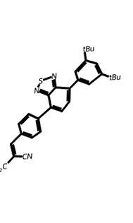 CC(C)(C)c1cc(-c2ccc(-c3ccc(/C=C(\C#N)C(=O)O)cc3)c3nsnc23)cc(C(C)(C)C)c1